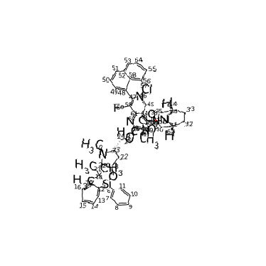 CN1C[C@H](O[Si](c2ccccc2)(c2ccccc2)C(C)(C)C)C[C@H]1COc1nc(N2C[C@H]3CC[C@@H](C2)N3C(=O)OC(C)(C)C)c2cnc(-c3cccc4cccc(Cl)c34)c(F)c2n1